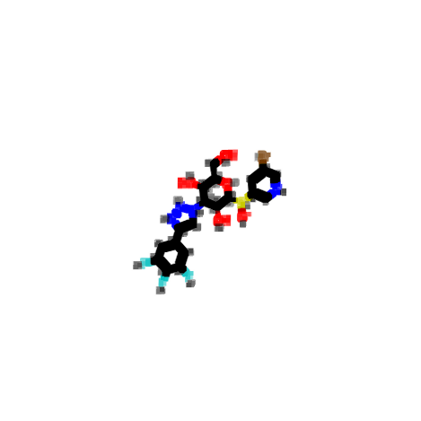 [O-][S+](c1cncc(Br)c1)[C@H]1O[C@H](CO)[C@H](O)[C@H](n2cc(-c3cc(F)c(F)c(F)c3)nn2)[C@H]1O